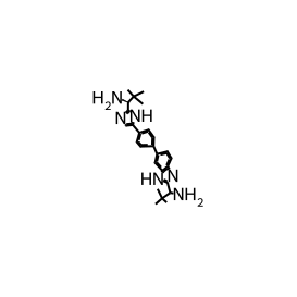 CC(C)(C)C(N)c1nc2ccc(-c3ccc(-c4cnc([C@@H](N)C(C)(C)C)[nH]4)cc3)cc2[nH]1